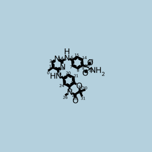 Cc1cnc(Nc2ccc(S(N)(=O)=O)cc2)nc1Nc1ccc2c(c1)N(C)C(=O)C(C)(C)O2